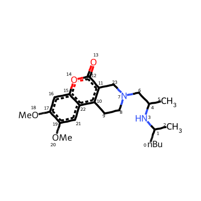 CCCCC(C)NC(C)CN1CCc2c(c(=O)oc3cc(OC)c(OC)cc23)C1